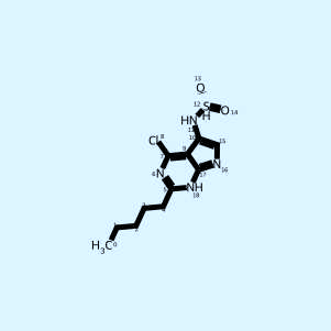 CCCCCc1nc(Cl)c2c(N[SH](=O)=O)cnc-2[nH]1